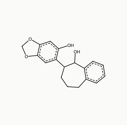 Oc1cc2c(cc1C1CCCc3ccccc3C1O)OCO2